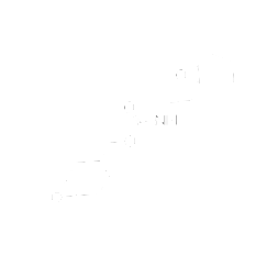 O=C(NCCC12CCCCC1O2)OCC1CCC2OC2C1